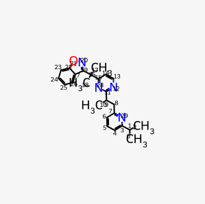 CC(C)c1cccc(CC(C)c2nccc(C(C)(C)c3noc4ccccc34)n2)n1